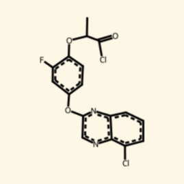 CC(Oc1ccc(Oc2cnc3c(Cl)cccc3n2)cc1F)C(=O)Cl